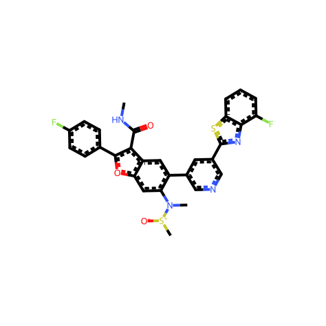 CNC(=O)c1c(-c2ccc(F)cc2)oc2cc(N(C)[S+](C)[O-])c(-c3cncc(-c4nc5c(F)cccc5s4)c3)cc12